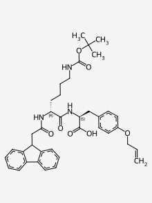 C=CCOc1ccc(C[C@H](NC(=O)[C@@H](CCCCNC(=O)OC(C)(C)C)NC(=O)CC2c3ccccc3-c3ccccc32)C(=O)O)cc1